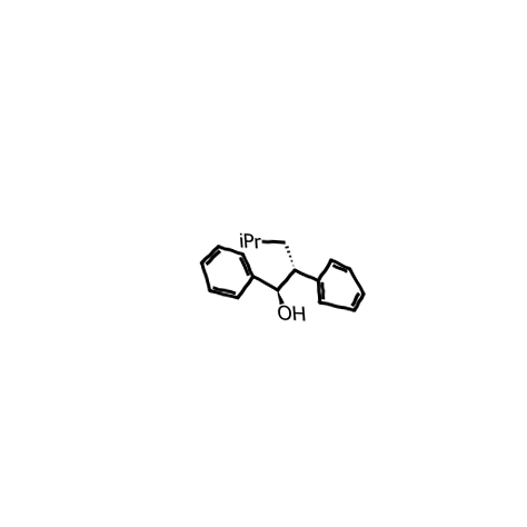 CC(C)C[C@H](c1ccccc1)[C@@H](O)c1ccccc1